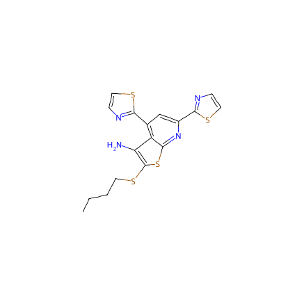 CCCCSc1sc2nc(-c3nccs3)cc(-c3nccs3)c2c1N